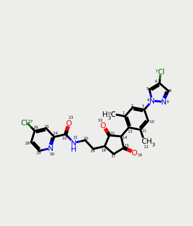 Cc1cc(-n2cc(Cl)cn2)cc(C)c1C1C(=O)CC(CCNC(=O)c2cc(Cl)ccn2)C1=O